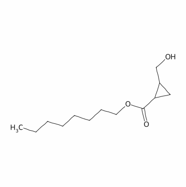 CCCCCCCCOC(=O)C1CC1CO